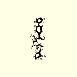 CN(CCNC(=O)c1ccc(-c2ccccc2)cc1)[C@@H]1CCN(Cc2ccccc2)C1